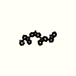 c1cnc(-c2cccc3c2c2ccccc2n3-c2ccc3sc4ccc(-n5c6ccccc6c6cc(-c7cccc8c7sc7ccccc78)ccc65)cc4c3c2)nc1